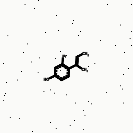 CC=C(C)c1ccc(O)cc1C(C)C